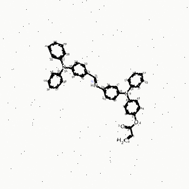 C=CC(=O)Oc1ccc(N(c2ccccc2)c2ccc(/N=C/c3ccc(N(c4ccccc4)c4ccccc4)cc3)cc2)cc1